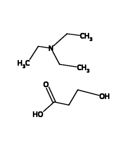 CCN(CC)CC.O=C(O)CCO